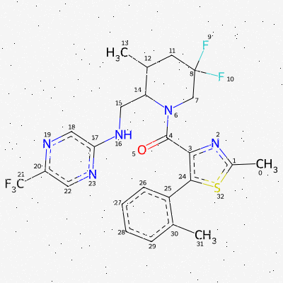 Cc1nc(C(=O)N2CC(F)(F)CC(C)C2CNc2cnc(C(F)(F)F)cn2)c(-c2ccccc2C)s1